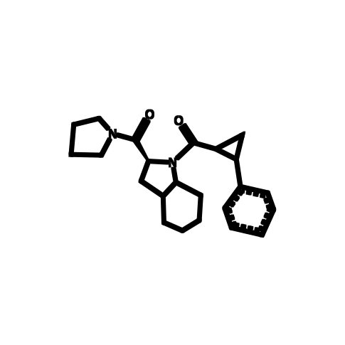 O=C([C@@H]1CC2CCCCC2N1C(=O)C1CC1c1ccccc1)N1CCCC1